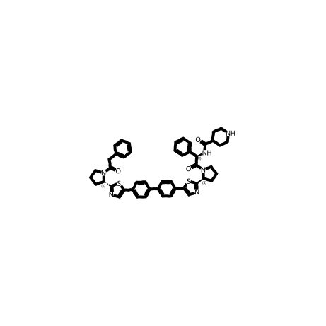 O=C(N[C@@H](C(=O)N1CCC[C@H]1c1ncc(-c2ccc(-c3ccc(-c4cnc([C@@H]5CCCN5C(=O)Cc5ccccc5)s4)cc3)cc2)s1)c1ccccc1)C1CCNCC1